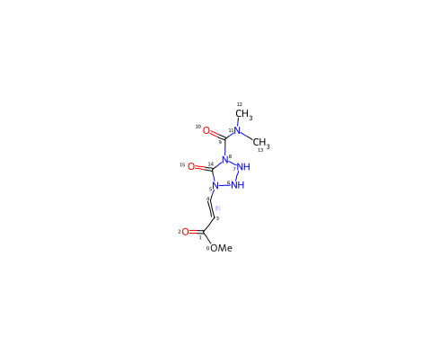 COC(=O)/C=C/N1NNN(C(=O)N(C)C)C1=O